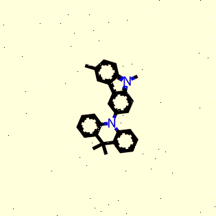 Cc1ccc2c(c1)c1cc(N3c4ccccc4C(C)(C)c4ccccc43)ccc1n2C